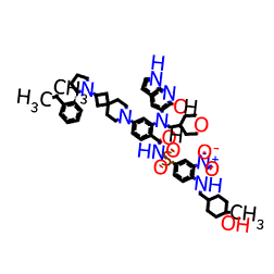 CC(C)c1ccccc1[C@@H]1CCCN1C1CC2(CCN(c3ccc(C(=O)NS(=O)(=O)c4ccc(NCC5CCC(C)(O)CC5)c([N+](=O)[O-])c4)c(N4C[C@H]5CCOC[C@H]5Oc5nc6[nH]ccc6cc54)c3)CC2)C1